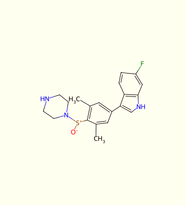 Cc1cc(-c2c[nH]c3cc(F)ccc23)cc(C)c1[S+]([O-])N1CCNCC1